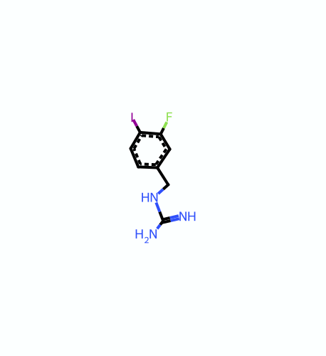 N=C(N)NCc1ccc(I)c(F)c1